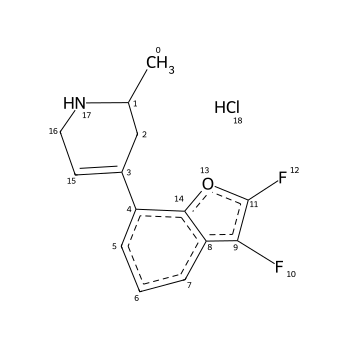 CC1CC(c2cccc3c(F)c(F)oc23)=CCN1.Cl